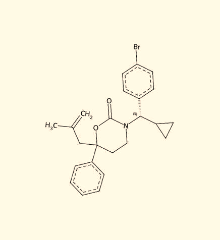 C=C(C)CC1(c2ccccc2)CCN([C@H](c2ccc(Br)cc2)C2CC2)C(=O)O1